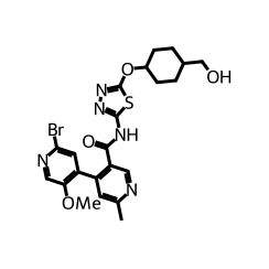 COc1cnc(Br)cc1-c1cc(C)ncc1C(=O)Nc1nnc(OC2CCC(CO)CC2)s1